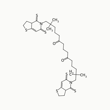 CC(C)(CCCC(=O)CCCC(=O)CCCC(C)(C)CN1C(=S)C=C2SCCC2C1=S)CN1C(=S)C=C2SCCC2C1=S